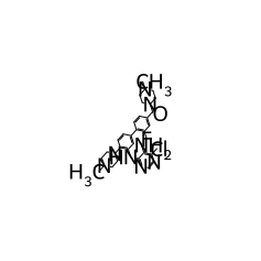 CN1CCN(C(=O)c2ccc(-c3ccc(N4CCN(C)CC4)c(Nc4ncnc(Cl)c4N)c3)c(F)c2)CC1